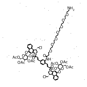 CC(=O)OC[C@H]1O[C@@H](Oc2cc3c(c4ccccc24)[C@H](CCl)CN3C(=O)/C=C/c2ccc(/C=C/C(=O)N3C[C@@H](CCl)c4c3cc(O[C@@H]3O[C@H](COC(C)=O)[C@H](OC(C)=O)[C@H](OC(C)=O)[C@H]3OC(C)=O)c3ccccc43)c(NC(=O)CCOCCOCCOCCOCCOCCOCCOCCN)c2)[C@H](OC(C)=O)[C@@H](OC(C)=O)[C@H]1OC(C)=O